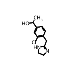 C[C@H](O)c1ccc(CC2=NCCN2)c(Cl)c1